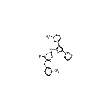 CC1C=CC=C(n2cc(-c3ccccc3)nc2NC(=O)CN(C(=O)Cc2cccc(C(F)(F)F)c2)C(C)C)C1